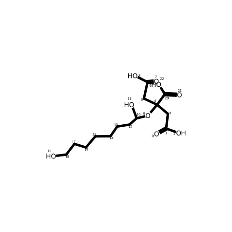 O=C(O)CC(CC(=O)O)(OC(O)CCCCCCCO)C(=O)O